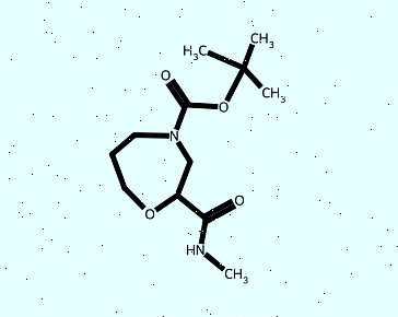 CNC(=O)C1CN(C(=O)OC(C)(C)C)CCCO1